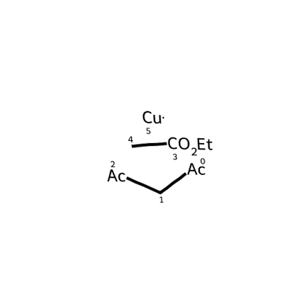 CC(=O)CC(C)=O.CCOC(C)=O.[Cu]